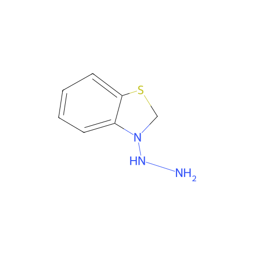 NNN1CSc2ccccc21